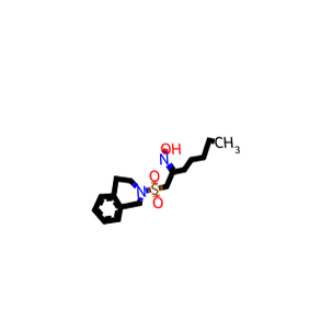 CCCCCC(CS(=O)(=O)N1CCc2ccccc2C1)=NO